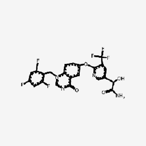 NC(=O)C(O)c1cnc(Oc2ccc3c(c2)c(=O)ncn3Cc2c(F)cc(F)cc2F)c(C(F)(F)F)c1